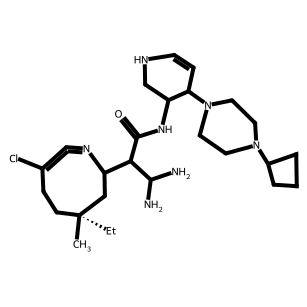 CC[C@]1(C)CCC(Cl)=C=NC(C(C(=O)NC2CNC=CC2N2CCN(C3CCC3)CC2)C(N)N)C1